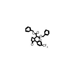 O=C(OCc1ccccc1)C(C(=O)OCc1ccccc1)C1CCC(=O)C1c1ccc(C(F)(F)F)cc1